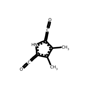 Cc1c(C)c(=C=O)[nH]c1=C=O